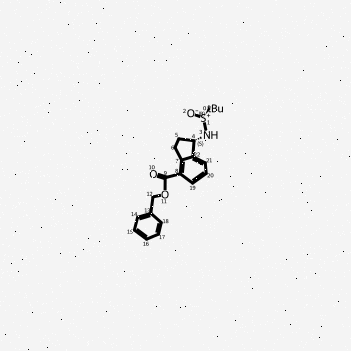 CC(C)(C)[S@+]([O-])N[C@H]1CCc2c(C(=O)OCc3ccccc3)cccc21